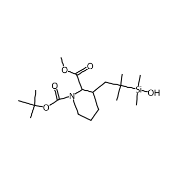 COC(=O)C1C(CC(C)(C)[Si](C)(C)O)CCCN1C(=O)OC(C)(C)C